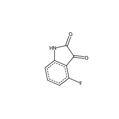 O=C1Nc2cccc(F)c2C1=O